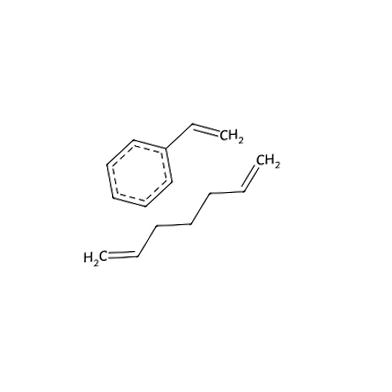 C=CCCCC=C.C=Cc1ccccc1